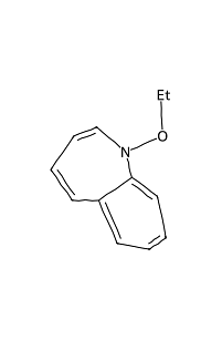 CCON1C=CC=Cc2ccccc21